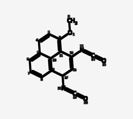 COc1ccc2cccc3c2c1C(N=C=O)=CC3N=C=O